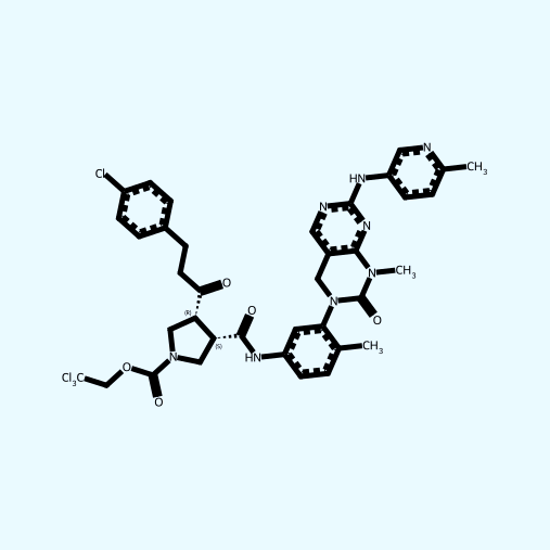 Cc1ccc(Nc2ncc3c(n2)N(C)C(=O)N(c2cc(NC(=O)[C@@H]4CN(C(=O)OCC(Cl)(Cl)Cl)C[C@@H]4C(=O)CCc4ccc(Cl)cc4)ccc2C)C3)cn1